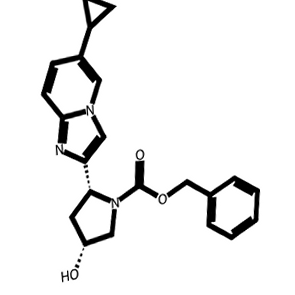 O=C(OCc1ccccc1)N1C[C@H](O)C[C@@H]1c1cn2cc(C3CC3)ccc2n1